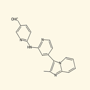 Cc1nc2ccccn2c1-c1ccnc(Nc2ccc(C=O)cn2)c1